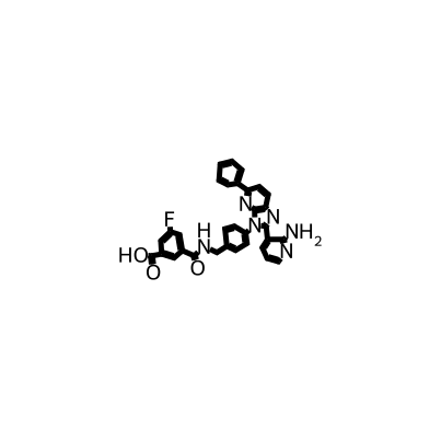 Nc1ncccc1-c1nc2ccc(-c3ccccc3)nc2n1-c1ccc(CNC(=O)c2cc(F)cc(C(=O)O)c2)cc1